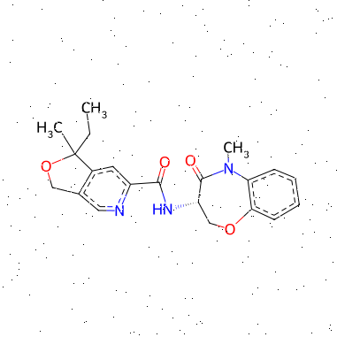 CCC1(C)OCc2cnc(C(=O)N[C@H]3COc4ccccc4N(C)C3=O)cc21